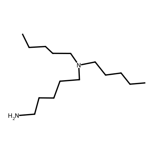 CCCCCN(CCCCC)CCCCCN